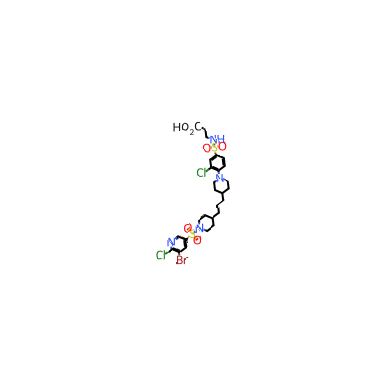 O=C(O)CCNS(=O)(=O)c1ccc(N2CCC(CCCC3CCN(S(=O)(=O)c4cnc(Cl)c(Br)c4)CC3)CC2)c(Cl)c1